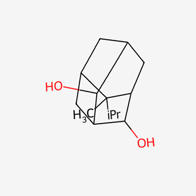 CC(C)C1(C)C2CC3CC1C(O)C(C2)C3O